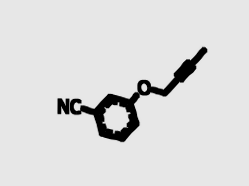 CC#CCOc1cccc(C#N)c1